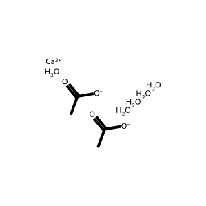 CC(=O)[O-].CC(=O)[O-].O.O.O.O.O.[Ca+2]